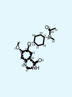 COc1cc2nc[nH]c(=O)c2cc1O[C@H]1CC[C@@H](N(C)C(C)=O)CC1